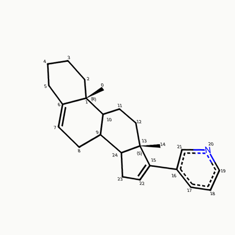 C[C@]12CCCCC1=CCC1C2CC[C@]2(C)C(c3cccnc3)=CCC12